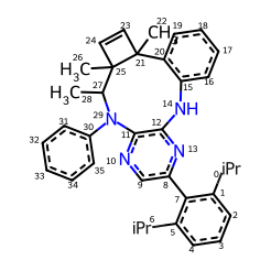 CC(C)c1cccc(C(C)C)c1-c1cnc2c(n1)Nc1ccccc1C1(C)C=CC1(C)C(C)N2c1ccccc1